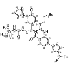 CC(C)(C)CCNC(=N)N(C(=O)c1ccc(-c2cnn(C(F)F)c2)cc1)[C@H](COC(=O)NC(C)(C)C(F)(F)F)c1ccc(Cl)c(-n2cncn2)c1